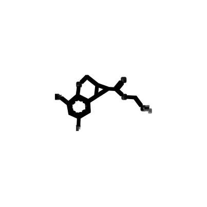 CCOC(=O)C1C2COc3c(Br)cc(F)cc3C21